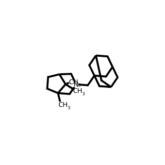 CC12CCC(CN(CC34CC5CC(CC(C5)C3)C4)C1)C2(C)C